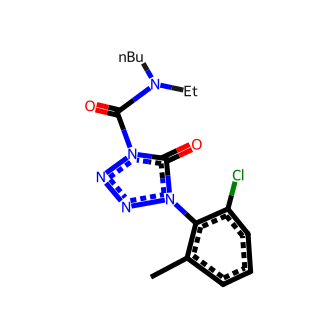 CCCCN(CC)C(=O)n1nnn(-c2c(C)cccc2Cl)c1=O